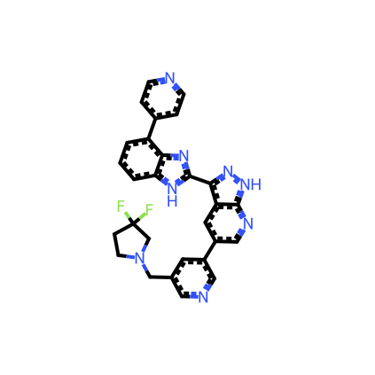 FC1(F)CCN(Cc2cncc(-c3cnc4[nH]nc(-c5nc6c(-c7ccncc7)cccc6[nH]5)c4c3)c2)C1